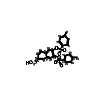 Cc1ccc(S(=O)(=O)Oc2cc3ccc(S(=O)(=O)O)cc3cc2OS(=O)(=O)c2ccc(C)cc2)cc1